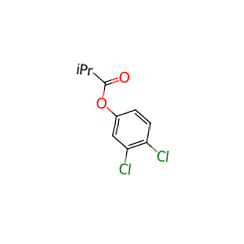 CC(C)C(=O)Oc1ccc(Cl)c(Cl)c1